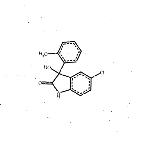 Cc1ccccc1C1(O)C(=O)Nc2ccc(Cl)cc21